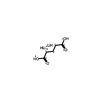 O=C(O)CCCC(=O)O.[LiH].[LiH]